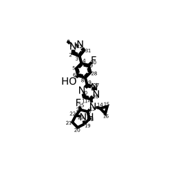 Cn1cc(-c2cc(O)c(-c3ncc(N(C4CC4)C4CC5CCC(N5)C4F)nn3)cc2F)cn1